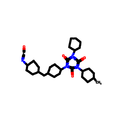 CC1CCC(n2c(=O)n(C3CCCCC3)c(=O)n(C3CCC(CC4CCC(N=C=O)CC4)CC3)c2=O)CC1